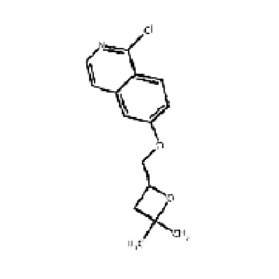 CC1(C)CC(COc2ccc3c(Cl)nccc3c2)O1